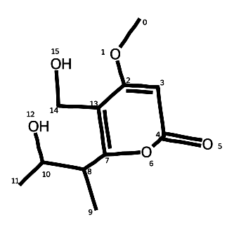 COc1cc(=O)oc(C(C)C(C)O)c1CO